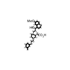 COc1ccc2nccc([C@H](O)CC[C@@H]3CCN(CCSc4cccc(C)c4)C[C@@H]3CC(=O)O)c2c1